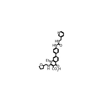 CCn1c(NCC2CCCO2)c(C(=O)O)c(=O)c2ccc(-c3ccc(NC(=O)NCc4cccnc4)cc3)cc21